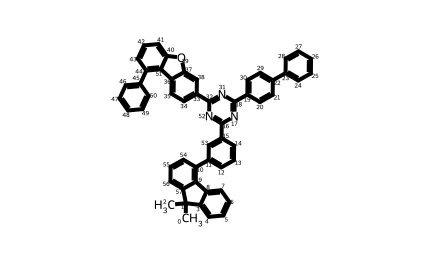 CC1(C)c2ccccc2-c2c(-c3cccc(-c4nc(-c5ccc(-c6ccccc6)cc5)nc(-c5ccc6c(c5)oc5cccc(-c7ccccc7)c56)n4)c3)cccc21